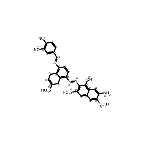 N#Cc1ccc(N=Nc2ccc(N=Nc3c(S(=O)(=O)O)cc4cc(S(=O)(=O)O)c(N)cc4c3O)c3c2CC=C(S(=O)(=O)O)C3)cc1C#N